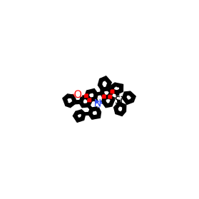 c1ccc(-c2cccc(N(c3ccc([Si](c4ccccc4)(c4ccccc4)c4ccccc4)cc3)c3ccccc3-c3cccc4ccccc34)c2-c2ccc3oc4ccccc4c3c2)cc1